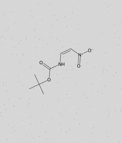 CC(C)(C)OC(=O)N/C=C\[N+](=O)[O-]